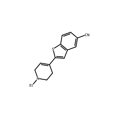 CCN1CC=C(c2cc3cc(C#N)ccc3s2)CC1